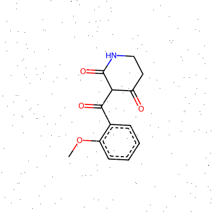 COc1ccccc1C(=O)C1C(=O)CCNC1=O